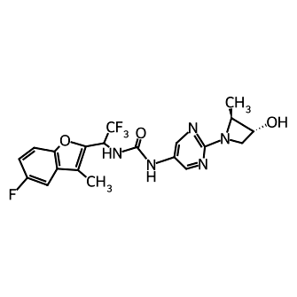 Cc1c(C(NC(=O)Nc2cnc(N3C[C@@H](O)[C@@H]3C)nc2)C(F)(F)F)oc2ccc(F)cc12